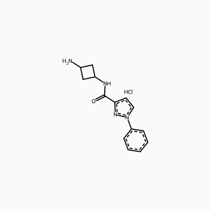 Cl.NC1CC(NC(=O)c2ccn(-c3ccccc3)n2)C1